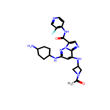 CC(=O)N1CC(Nc2cc(NC3CCC(N)CC3)nn3c(C(=O)Nc4ccncc4F)cnc23)C1